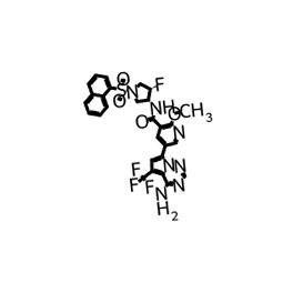 COc1ncc(-c2cc(C(F)(F)F)c3c(N)ncnn23)cc1C(=O)N[C@@H]1CN(S(=O)(=O)c2cccc3ccccc23)C[C@@H]1F